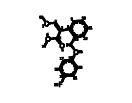 COC=C(C(=O)OC)c1ccccc1COc1ccc(F)cc1